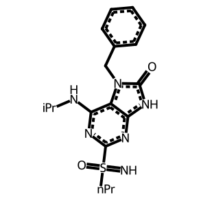 CCCS(=N)(=O)c1nc(NC(C)C)c2c(n1)[nH]c(=O)n2Cc1ccccc1